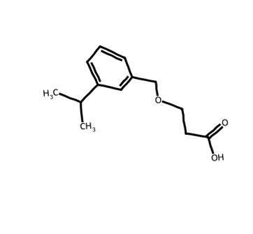 CC(C)c1cccc(COCCC(=O)O)c1